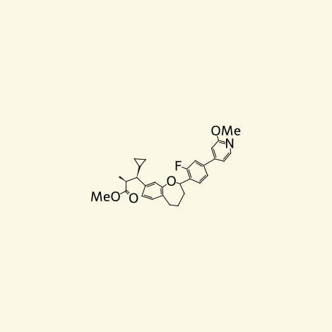 COC(=O)[C@@H](C)[C@H](c1ccc2c(c1)OC(c1ccc(-c3ccnc(OC)c3)cc1F)CCC2)C1CC1